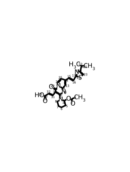 CC(=O)OC1CCCCN1c1nc2cc(C=Cc3nc(C(C)C)cs3)ccn2c(=O)c1C=CC(=O)O